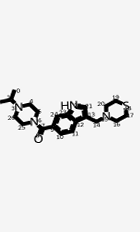 CC(C)N1CCN(C(=O)c2ccc3c(CN4CCSCC4)c[nH]c3c2)CC1